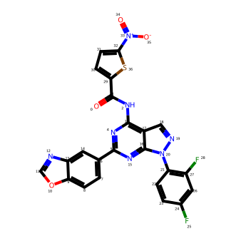 O=C(Nc1nc(-c2ccc3ocnc3c2)nc2c1cnn2-c1ccc(F)cc1F)c1ccc([N+](=O)[O-])s1